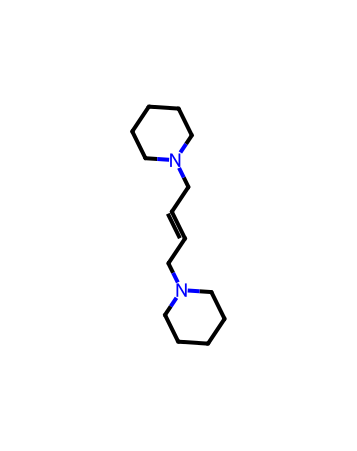 C(=CCN1CCCCC1)CN1CCCCC1